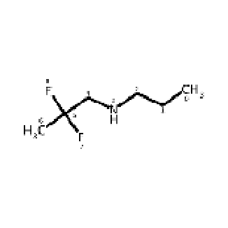 CCCNCC(C)(F)F